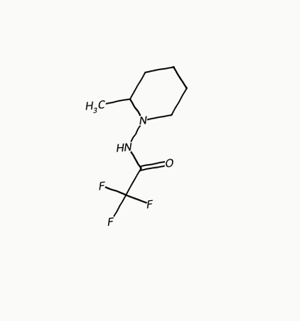 CC1CCCCN1NC(=O)C(F)(F)F